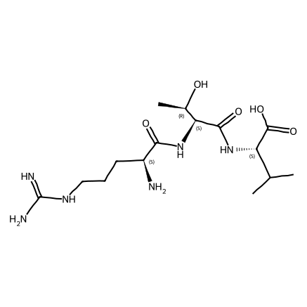 CC(C)[C@H](NC(=O)[C@@H](NC(=O)[C@@H](N)CCCNC(=N)N)[C@@H](C)O)C(=O)O